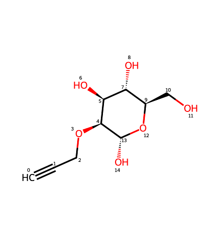 C#CCO[C@H]1[C@@H](O)[C@H](O)[C@@H](CO)O[C@@H]1O